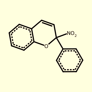 O=[N+]([O-])C1(c2ccccc2)C=Cc2ccccc2O1